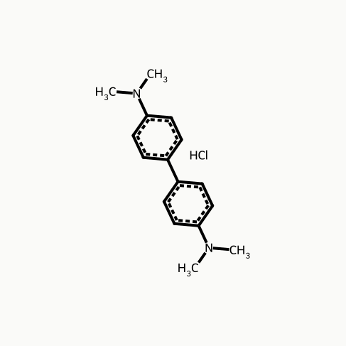 CN(C)c1ccc(-c2ccc(N(C)C)cc2)cc1.Cl